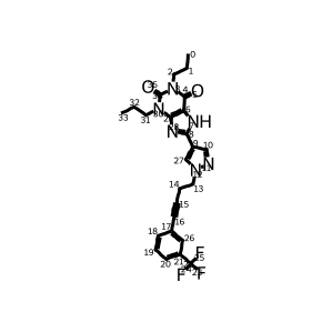 CCCn1c(=O)c2[nH]c(-c3cnn(CCC#Cc4cccc(C(F)(F)F)c4)c3)nc2n(CCC)c1=O